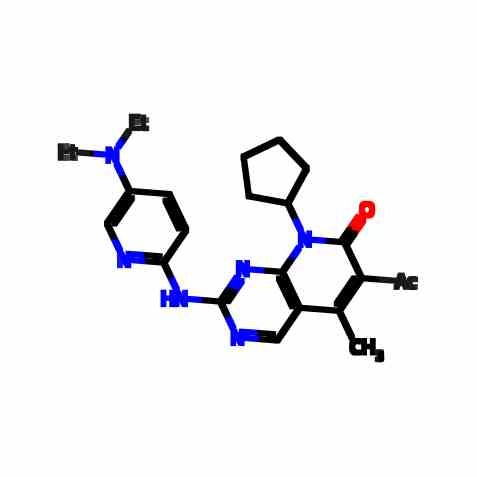 CCN(CC)c1ccc(Nc2ncc3c(C)c(C(C)=O)c(=O)n(C4CCCC4)c3n2)nc1